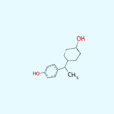 CC(c1ccc(O)cc1)C1CCC(O)CC1